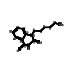 O=c1[nH]c(=O)n(CCCCCCl)c2ccccc12